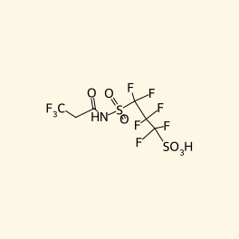 O=C(CC(F)(F)F)NS(=O)(=O)C(F)(F)C(F)(F)C(F)(F)S(=O)(=O)O